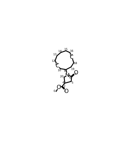 COC(=O)C1CC(=O)N(C2CCCCCCCCCC2)C1